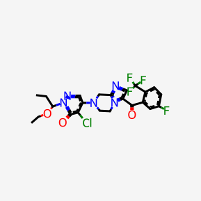 CCOC(CC)n1ncc(N2CCn3c(C(=O)c4cc(F)ccc4C(F)(F)F)cnc3C2)c(Cl)c1=O